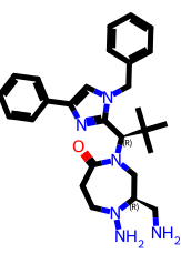 CC(C)(C)[C@H](c1nc(-c2ccccc2)cn1Cc1ccccc1)N1C[C@@H](CN)N(N)CCC1=O